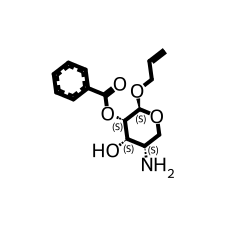 C=CCO[C@H]1OC[C@H](N)[C@H](O)[C@@H]1OC(=O)c1ccccc1